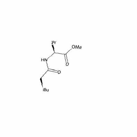 CC[C@H](C)CC(=O)N[C@H](C(=O)OC)C(C)C